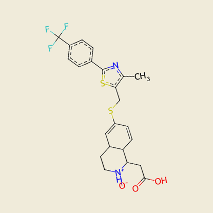 Cc1nc(-c2ccc(C(F)(F)F)cc2)sc1CSC1=CC2CC[NH+]([O-])C(CC(=O)O)C2C=C1